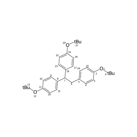 CC(C)(C)Oc1ccc(CC(c2ccc(OC(C)(C)C)cc2)c2ccc(OC(C)(C)C)cc2)cc1